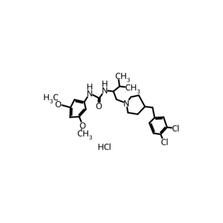 COc1cc(NC(=O)NC(CN2CCC(Cc3ccc(Cl)c(Cl)c3)CC2)C(C)C)cc(OC)c1.Cl